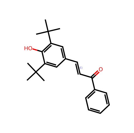 CC(C)(C)c1cc(/C=C/C(=O)c2ccccc2)cc(C(C)(C)C)c1O